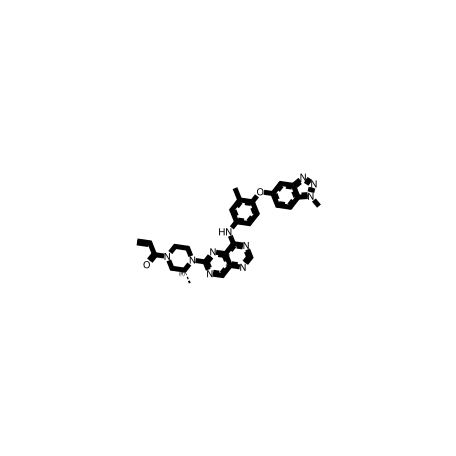 C=CC(=O)N1CCN(c2ncc3ncnc(Nc4ccc(Oc5ccc6c(c5)nnn6C)c(C)c4)c3n2)[C@H](C)C1